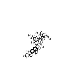 CC[C@@H]1N(c2nc(C)nc(N[C@@H](C)c3cc4cc(Cl)c(OC)cc4[nH]c3=O)n2)C(=O)OC1(C)C